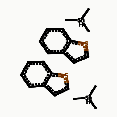 [CH3][SnH]([CH3])[CH3].[CH3][SnH]([CH3])[CH3].c1ccc2sccc2c1.c1ccc2sccc2c1